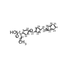 CC#C[C@@H](CC(=O)O)c1ccc(OCc2ccc(CCN3Cc4ccccc4C3)cc2)cc1